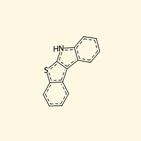 c1ccc2c(c1)[nH]c1sc3ccccc3c12